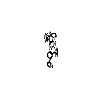 CC[C@@]12CCCN1c1nc(-n3ccnc3-c3cccc(-c4cccnc4)c3)ncc1-n1c(C)nnc12